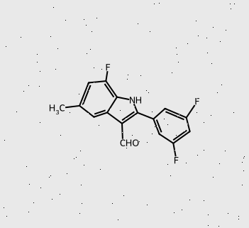 Cc1cc(F)c2[nH]c(-c3cc(F)cc(F)c3)c(C=O)c2c1